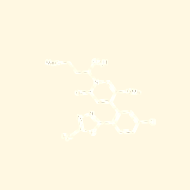 COCCC(C(=O)O)n1cc(OC)c(-c2cc(Cl)ccc2-c2nnc(C(F)(F)F)o2)cc1=O